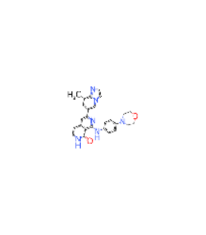 Cc1cc(-c2cc3cc[nH]c(=O)c3c(Nc3ccc(N4CCOCC4)cc3)n2)cn2ccnc12